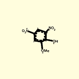 COc1cc([N+](=O)[O-])[c]c([N+](=O)[O-])c1O